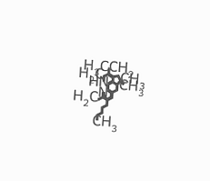 C=Cc1nc2c(cc1CCCCC)CC1C3=C2NC(=C)C(C(=C)C)=C3CC1(C)C